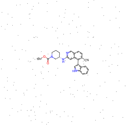 CC(C)(C)OC(=O)N1CCC[C@H](Nc2cc3c(-c4c[nH]c5ccccc45)c(C#N)ccc3cn2)C1